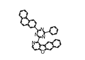 c1ccc(-c2nc(-c3ccc4c(ccc5ccccc54)c3)nc(-c3nccc4oc5cc6ccccc6cc5c34)n2)cc1